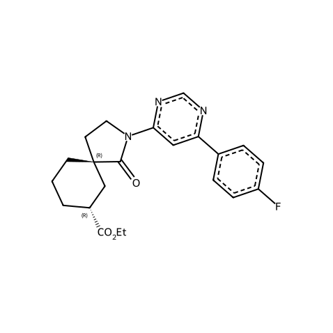 CCOC(=O)[C@@H]1CCC[C@]2(CCN(c3cc(-c4ccc(F)cc4)ncn3)C2=O)C1